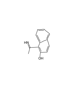 CC(=N)c1c(O)ccc2ccccc12